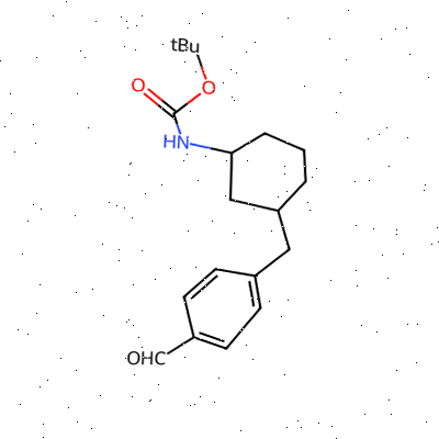 CC(C)(C)OC(=O)NC1CCCC(Cc2ccc(C=O)cc2)C1